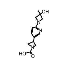 CC1(O)CN(c2ccc(C3CN(C(=O)O)C3)cn2)C1